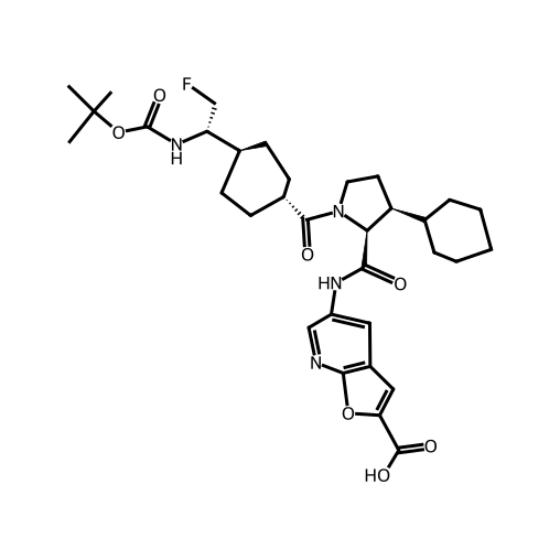 CC(C)(C)OC(=O)N[C@H](CF)[C@H]1CC[C@H](C(=O)N2CC[C@@H](C3CCCCC3)[C@H]2C(=O)Nc2cnc3oc(C(=O)O)cc3c2)CC1